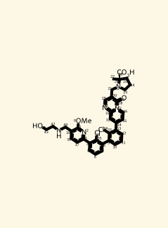 COc1nc(-c2cccc(-c3cccc(-c4ccn5c(=O)c(CN6CCC[C@]6(C)C(=O)O)cnc5c4)c3Cl)c2Cl)ccc1CNCCO